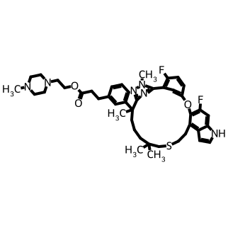 CN1CCN(CCOC(=O)CCc2cccc(C3(C)CCCC(C)(C)CSCCc4c(c(F)cc5[nH]ccc45)Oc4ccc(F)c(c4)-c4nc3nn4C)c2)CC1